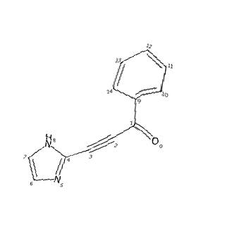 O=C(C#Cc1ncc[nH]1)c1ccccc1